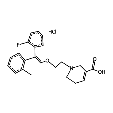 Cc1ccccc1C(=COCCN1CCC=C(C(=O)O)C1)c1ccccc1F.Cl